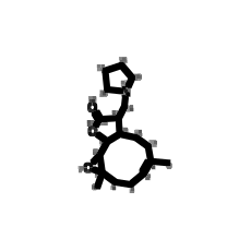 C/C1=C/CCC2(C)OC2C2OC(=O)C(CN3CCCC3)C2CC1